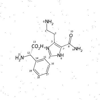 NCCc1nc[nH]c1C(N)=O.N[C@H](C(=O)O)c1ccccc1